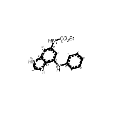 CCOC(=O)Nc1cc(Nc2ccccc2)c2nc[nH]c2n1